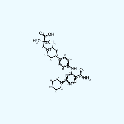 CC(C)(CN1CCC(c2ccc(Nc3nc(N4CCCCC4)nnc3C(N)=O)cc2)CC1)C(=O)O